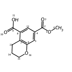 COC(=O)c1cc2c(c(C(=O)O)c1)CCCO2